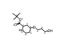 CC(C)(C)OC(=O)C1CC(OCCCO)CCN1